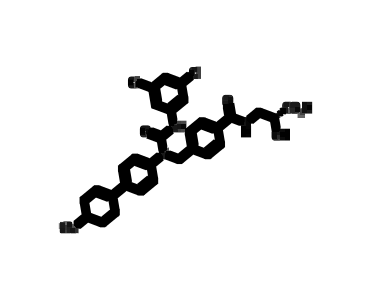 CC(C)(C)C1CC=C(c2ccc(N(Cc3ccc(C(=O)NC[C@@H](O)C(=O)O)cc3)C(=O)Nc3cc(Cl)cc(Cl)c3)cc2)CC1